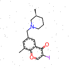 Cc1cc(CN2CCC[C@H](C)C2)cc2c(=O)c(I)coc12